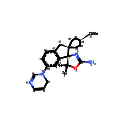 [2H]C1([2H])OC(N)=N[C@]12c1cc(N3C=NC=CC3)ccc1C[C@]21CC[C@@H](OC)CC1